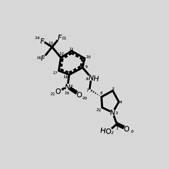 O=C(O)N1CC[C@@H](CNc2ccc(C(F)(F)F)cc2[N+](=O)[O-])C1